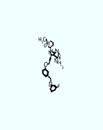 C=CC(=O)N1CCCC(n2nc(C#CCOc3cccc(COc4cccc(F)c4)c3)c3c(N)ncnc32)C1